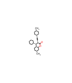 Cc1ccc(C#Cc2c(-c3ccccc3)c3ccc(C)cc3oc2=O)cc1